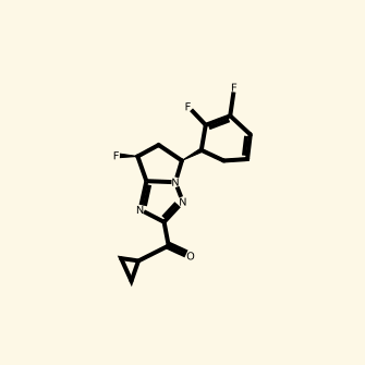 O=C(c1nc2n(n1)[C@H](C1CC=CC(F)=C1F)C[C@@H]2F)C1CC1